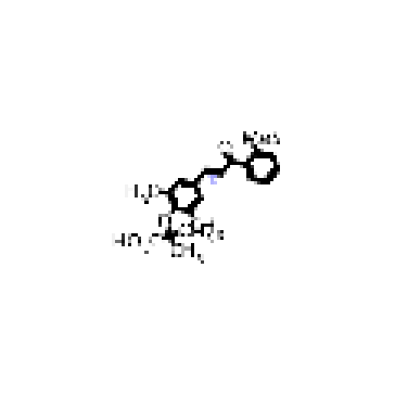 CSc1ccccc1C(=O)/C=C/c1cc(C)c(OC(C)(C)C(=O)O)c(C)c1